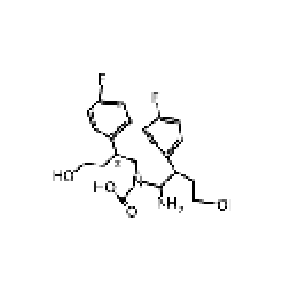 NC(C(CCO)c1ccc(F)cc1)N(C[C@@H](CCO)c1ccc(F)cc1)C(=O)O